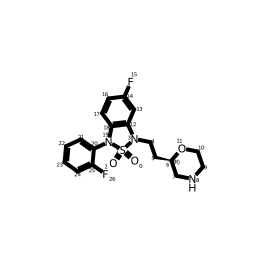 O=S1(=O)N(CC[C@@H]2CNCCO2)c2cc(F)ccc2N1c1ccccc1F